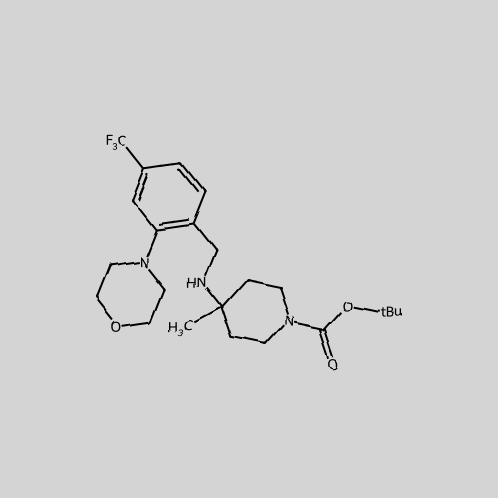 CC1(NCc2ccc(C(F)(F)F)cc2N2CCOCC2)CCN(C(=O)OC(C)(C)C)CC1